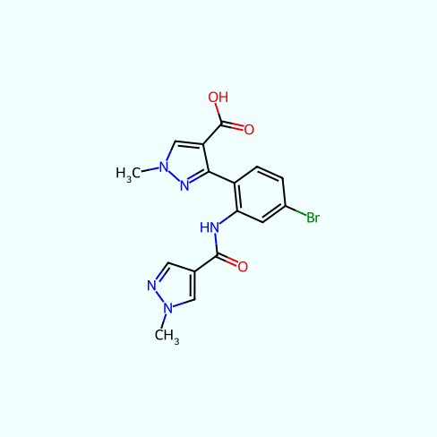 Cn1cc(C(=O)Nc2cc(Br)ccc2-c2nn(C)cc2C(=O)O)cn1